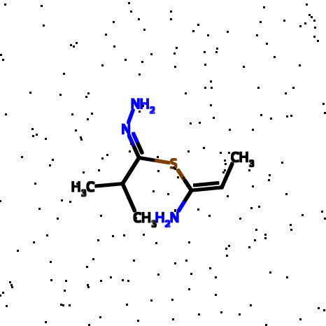 C/C=C(/N)S/C(=N\N)C(C)C